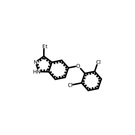 CCc1n[nH]c2ccc(Oc3c(Cl)cccc3Cl)cc12